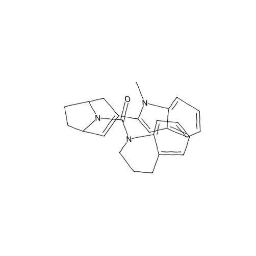 Cn1c(C2=CC3CCC(C2)N3C(=O)N2CCCc3ccccc32)cc2ccccc21